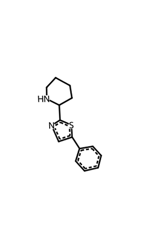 c1ccc(-c2cnc(C3CCCCN3)s2)cc1